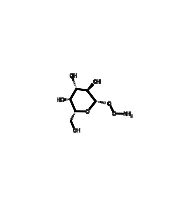 NOO[C@@H]1O[C@H](CO)[C@H](O)[C@H](O)[C@H]1O